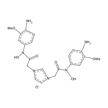 COc1cc(N(O)C(=O)Cn2cc[n+](CC(=O)N(O)c3ccc(N)c(OC)c3)c2)ccc1N.[Cl-]